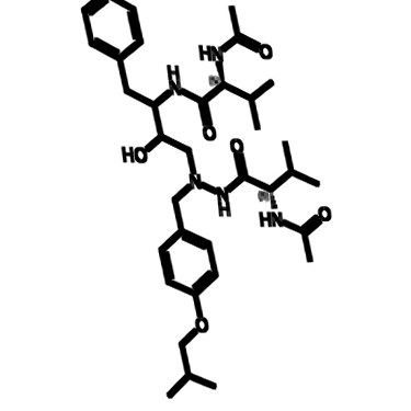 CC(=O)N[C@H](C(=O)NC(Cc1ccccc1)C(O)CN(Cc1ccc(OCC(C)C)cc1)NC(=O)[C@@H](NC(C)=O)C(C)C)C(C)C